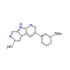 COc1cccc(-c2cnc3[nH]c4cnc(C#N)cc4c3c2)c1